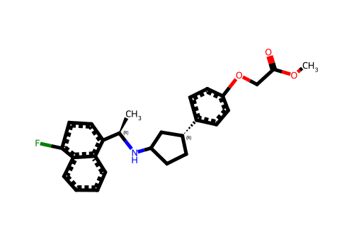 COC(=O)COc1ccc([C@@H]2CCC(N[C@H](C)c3ccc(F)c4ccccc34)C2)cc1